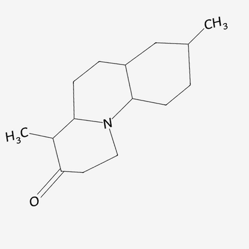 CC1CCC2C(CCC3C(C)C(=O)CCN23)C1